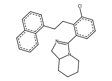 Clc1cccc(C2=NCC3CCCCN23)c1CCc1cccc2ccccc12